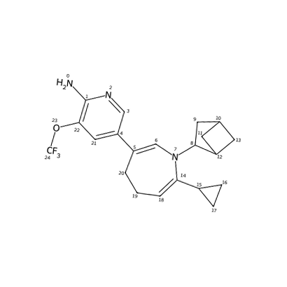 Nc1ncc(C2=CN(C3CC4CC3C4)C(C3CC3)=CCC2)cc1OC(F)(F)F